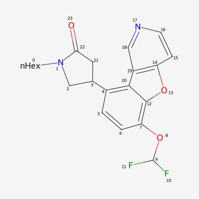 CCCCCCN1CC(c2ccc(OC(F)F)c3oc4ccncc4c23)CC1=O